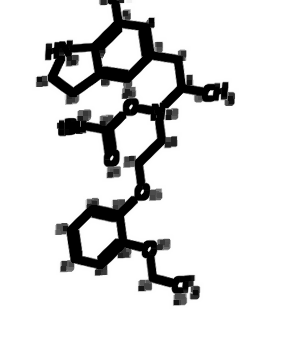 CC(Cc1cc(C#N)c2c(c1)CCN2)N(CCOc1ccccc1OCC(F)(F)F)OC(=O)C(C)(C)C